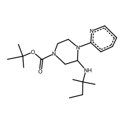 CCC(C)(C)NC1CN(C(=O)OC(C)(C)C)CCN1c1ccccn1